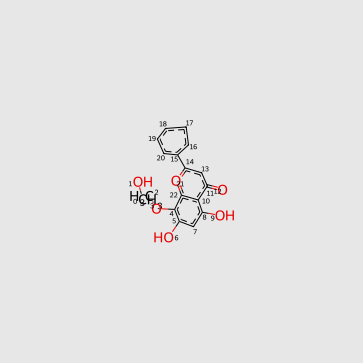 CO.COc1c(O)cc(O)c2c(=O)cc(-c3ccccc3)oc12